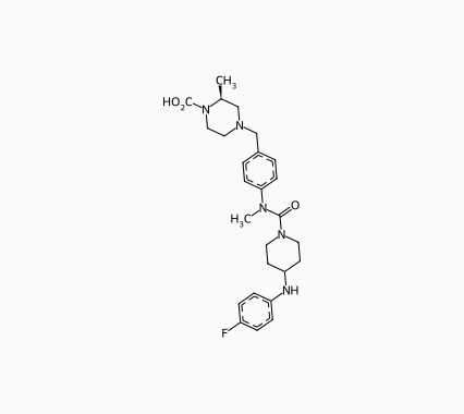 C[C@H]1CN(Cc2ccc(N(C)C(=O)N3CCC(Nc4ccc(F)cc4)CC3)cc2)CCN1C(=O)O